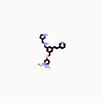 C[N+]1(C)CCC(OCc2cc(C=Cc3cccnc3)cc(CNCC3CCNC3)c2)C1